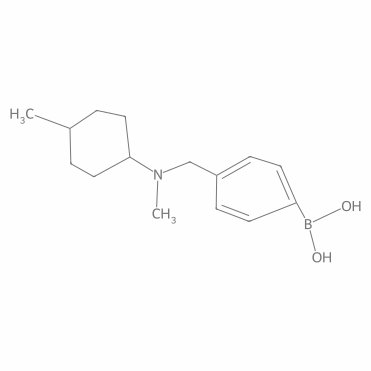 CC1CCC(N(C)Cc2ccc(B(O)O)cc2)CC1